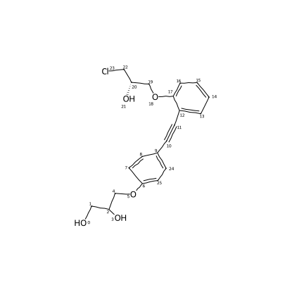 OCC(O)COc1ccc(C#Cc2ccccc2OC[C@H](O)CCl)cc1